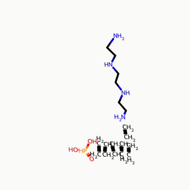 C=C.C=C.C=C.C=C.C=C.C=C.NCCNCCNCCN.O=[PH](O)O